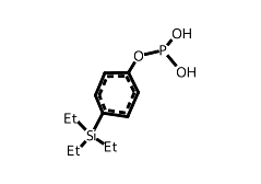 CC[Si](CC)(CC)c1ccc(OP(O)O)cc1